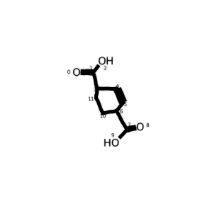 O=C(O)C1C#CC(C(=O)O)CC1